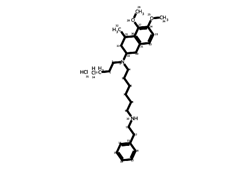 CCCN(CCCCCCNCCc1ccccc1)C1Cc2ccc(OC)c(OC)c2C(C)C1.Cl.Cl